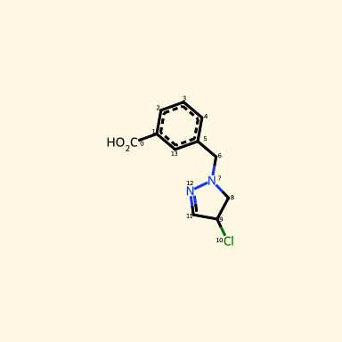 O=C(O)c1cccc(CN2CC(Cl)C=N2)c1